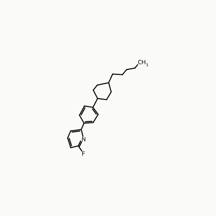 CCCCCC1CCC(c2ccc(-c3cccc(F)n3)cc2)CC1